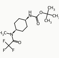 CN(C(=O)C(F)(F)F)[C@H]1CC[C@@H](NC(=O)OC(C)(C)C)CC1